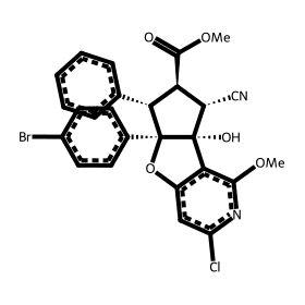 COC(=O)[C@@H]1[C@@H](c2ccccc2)[C@]2(c3ccc(Br)cc3)Oc3cc(Cl)nc(OC)c3[C@]2(O)[C@H]1C#N